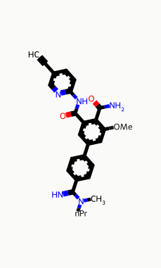 C#Cc1ccc(NC(=O)c2cc(-c3ccc(C(=N)N(C)CCC)cc3)cc(OC)c2C(N)=O)nc1